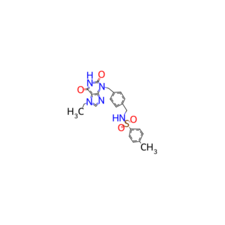 CCn1cnc2c1c(=O)[nH]c(=O)n2Cc1ccc(CNS(=O)(=O)c2ccc(C)cc2)cc1